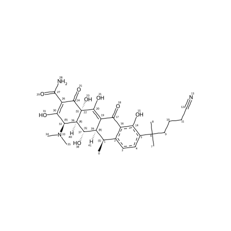 C[C@@H]1c2ccc(C(C)(C)CCCC#N)c(O)c2C(=O)C2=C(O)[C@]3(O)C(=O)C(C(N)=O)=C(O)[C@H](N(C)C)[C@@H]3[C@@H](O)[C@@H]21